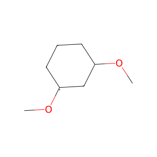 CO[C]1CCCC(OC)C1